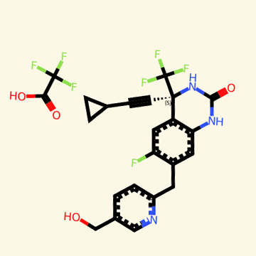 O=C(O)C(F)(F)F.O=C1Nc2cc(Cc3ccc(CO)cn3)c(F)cc2[C@@](C#CC2CC2)(C(F)(F)F)N1